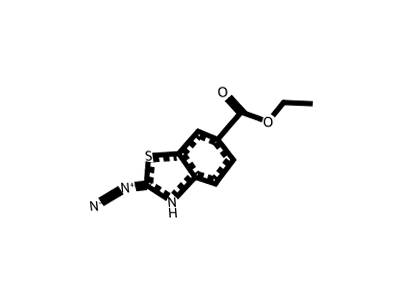 CCOC(=O)c1ccc2[nH]c(=[N+]=[N-])sc2c1